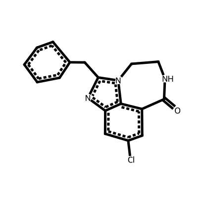 O=C1NCCn2c(Cc3ccccc3)nc3cc(Cl)cc1c32